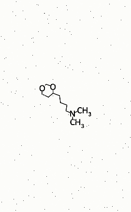 CN(C)CCCCC1CCOCO1